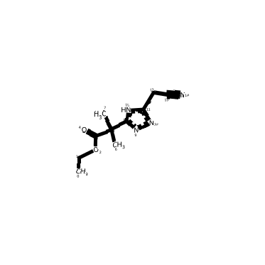 CCOC(=O)C(C)(C)c1nnc(CC#N)[nH]1